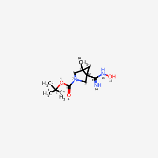 CC(C)(C)OC(=O)N1CC2(C)CC2(C(=N)NO)C1